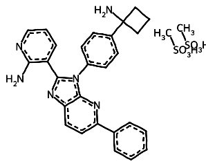 CS(=O)(=O)O.CS(=O)(=O)O.Nc1ncccc1-c1nc2ccc(-c3ccccc3)nc2n1-c1ccc(C2(N)CCC2)cc1